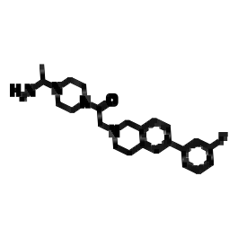 CC(N)N1CCN(C(=O)CN2CCc3cc(-c4cccc(F)c4)ccc3C2)CC1